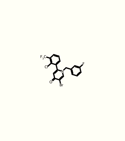 O=c1cc(-c2cccc(C(F)(F)F)c2Cl)n(Cc2cccc(F)c2)cc1Br